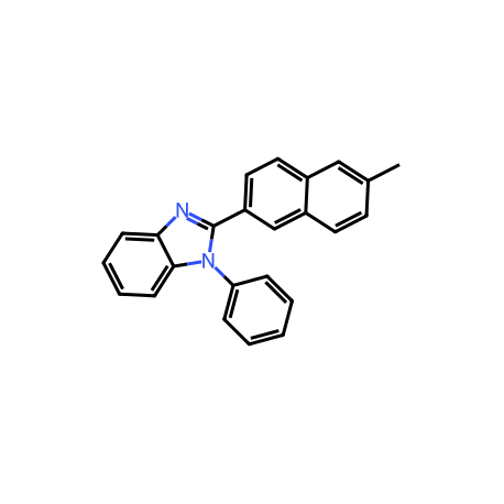 Cc1ccc2cc(-c3nc4ccccc4n3-c3ccccc3)ccc2c1